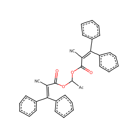 CC(=O)C(OC(=O)C(C#N)=C(c1ccccc1)c1ccccc1)OC(=O)C(C#N)=C(c1ccccc1)c1ccccc1